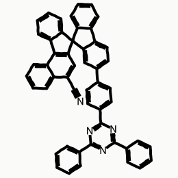 N#Cc1cc2c(c3ccccc13)-c1ccccc1C21c2ccccc2-c2ccc(-c3ccc(-c4nc(-c5ccccc5)nc(-c5ccccc5)n4)cc3)cc21